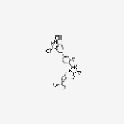 Cn1nc(Cl)c2cc(-c3ccc(C4=NC5(CC5)C(=O)N4CC4CN(C(=O)C5CC5)C4)c(F)c3)ccc21